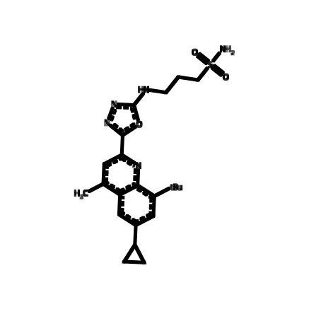 Cc1cc(-c2nnc(NCCCS(N)(=O)=O)o2)nc2c(C(C)(C)C)cc(C3CC3)cc12